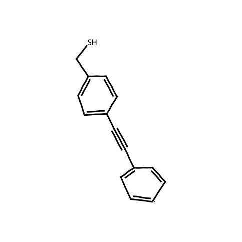 SCc1ccc(C#Cc2cc[c]cc2)cc1